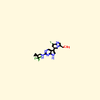 OCc1cnc2c(F)cc(-c3c[nH]c4nc(NCC5(C(F)(F)F)CC5)ncc34)cn12